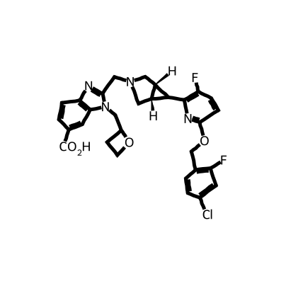 O=C(O)c1ccc2nc(CN3C[C@@H]4C(c5nc(OCc6ccc(Cl)cc6F)ccc5F)[C@@H]4C3)n(CC3CCO3)c2c1